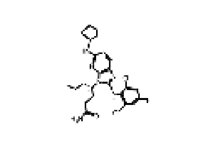 CCC[C@@H](CCC(N)=O)n1c(Nc2c(Cl)cc(F)cc2Cl)nc2cnc(NC3CCCC3)nc21